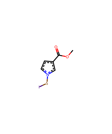 COC(=O)c1ccn(SI)c1